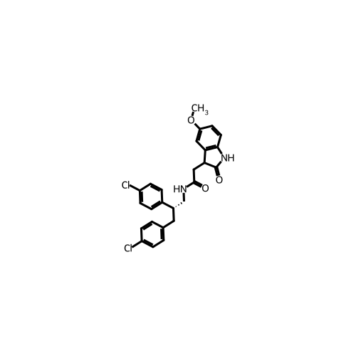 COc1ccc2c(c1)C(CC(=O)NC[C@H](Cc1ccc(Cl)cc1)c1ccc(Cl)cc1)C(=O)N2